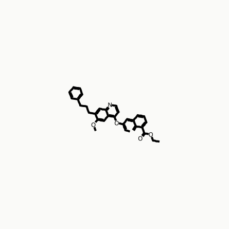 C=c1c(C(=O)OCC)ccc/c1=C/C(=C\C)Oc1ccnc2cc(CCCc3ccccc3)c(OC)cc12